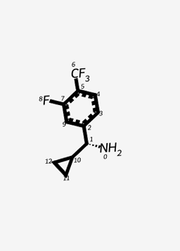 N[C@@H](c1ccc(C(F)(F)F)c(F)c1)C1CC1